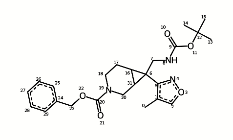 Cc1conc1C1(CNC(=O)OC(C)(C)C)C2CCN(C(=O)OCc3ccccc3)CC21